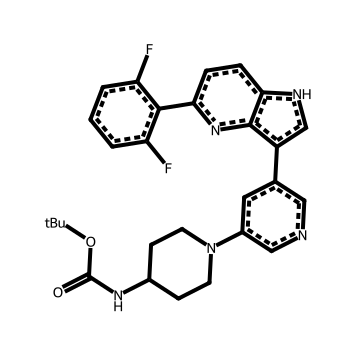 CC(C)(C)OC(=O)NC1CCN(c2cncc(-c3c[nH]c4ccc(-c5c(F)cccc5F)nc34)c2)CC1